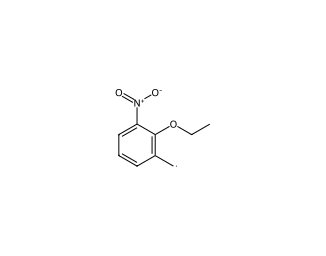 [CH2]c1cccc([N+](=O)[O-])c1OCC